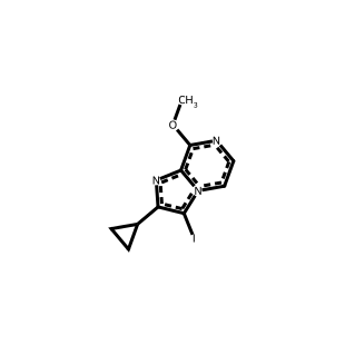 COc1nccn2c(I)c(C3CC3)nc12